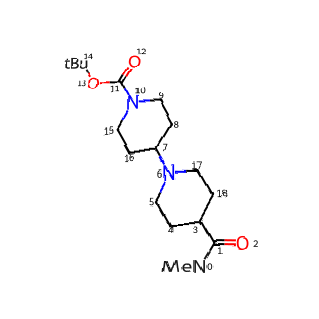 CNC(=O)C1CCN(C2CCN(C(=O)OC(C)(C)C)CC2)CC1